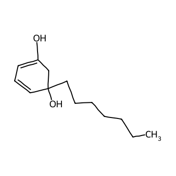 CCCCCCCC1(O)C=CC=C(O)C1